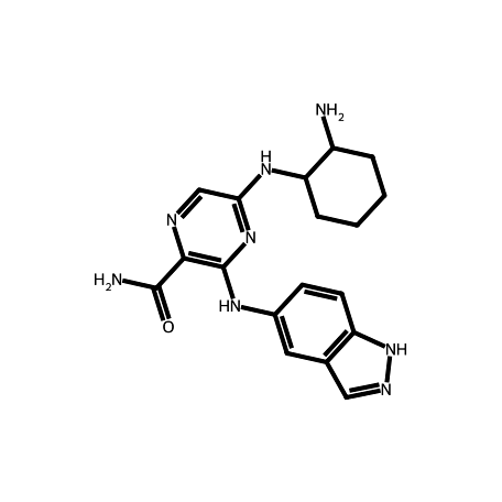 NC(=O)c1ncc(NC2CCCCC2N)nc1Nc1ccc2[nH]ncc2c1